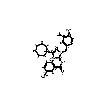 O=c1nc2n(Cc3ccc(Cl)c(Cl)c3)nc(N3CCCCCC3)n2c2ccc(Cl)cc12